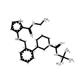 CCOC(=O)c1[nH]ccc1NCc1ccccc1C1CCCN(C(=O)OC(C)(C)C)C1